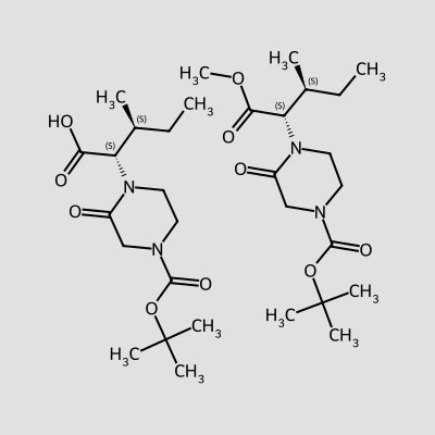 CC[C@H](C)[C@@H](C(=O)O)N1CCN(C(=O)OC(C)(C)C)CC1=O.CC[C@H](C)[C@@H](C(=O)OC)N1CCN(C(=O)OC(C)(C)C)CC1=O